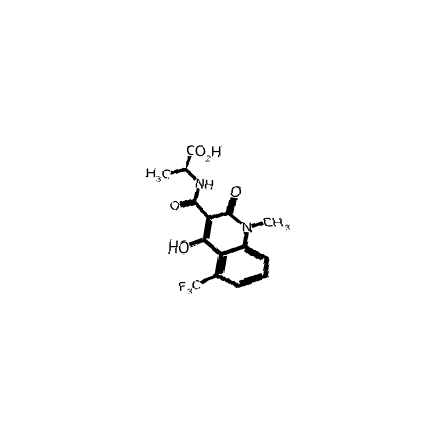 C[C@H](NC(=O)c1c(O)c2c(C(F)(F)F)cccc2n(C)c1=O)C(=O)O